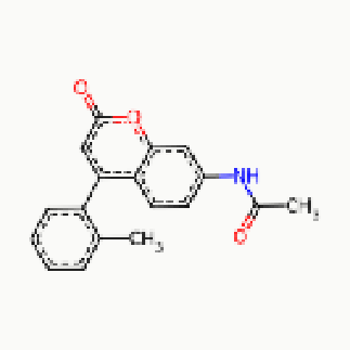 CC(=O)Nc1ccc2c(-c3ccccc3C)cc(=O)oc2c1